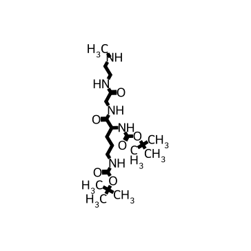 CNCCNC(=O)CNC(=O)C(CCCNC(=O)OC(C)(C)C)NC(=O)OC(C)(C)C